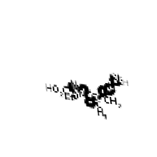 CCOc1c(C(=O)O)cnn1-c1cccc(-c2cccc(C)c2OCc2ccc3c(c2C)CCN(C(CO)CO)C3)n1